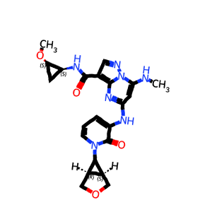 CNc1cc(Nc2cccn(C3[C@H]4COC[C@@H]34)c2=O)nc2c(C(=O)N[C@H]3C[C@@H]3OC)cnn12